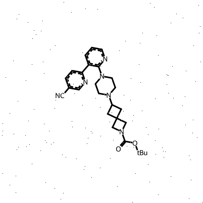 CC(C)(C)OC(=O)N1CC2(CC(N3CCN(c4ncccc4-c4ccc(C#N)cn4)CC3)C2)C1